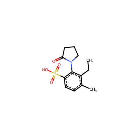 CCc1c(C)ccc(S(=O)(=O)O)c1N1CCCC1=O